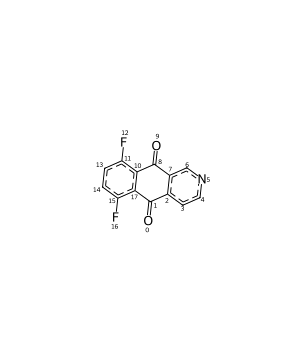 O=C1c2ccncc2C(=O)c2c(F)ccc(F)c21